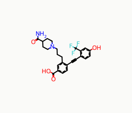 NC(=O)C1CCN(CCCc2cc(C(=O)O)ccc2C#Cc2ccc(O)cc2C(F)(F)F)CC1